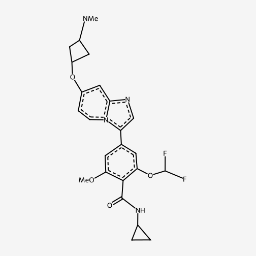 CNC1CC(Oc2ccn3c(-c4cc(OC)c(C(=O)NC5CC5)c(OC(F)F)c4)cnc3c2)C1